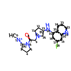 C#[N+][C@@H]1CCCN1C(=O)CN1CC[C@@H](Nc2cc(F)cc3ncccc23)C1